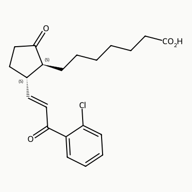 O=C(O)CCCCCC[C@@H]1C(=O)CC[C@H]1C=CC(=O)c1ccccc1Cl